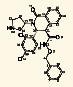 O=C(NOCc1ccccc1)[C@@H]1c2ccccc2C(=O)N([C@H]2CCNC2)[C@H]1c1ccc(Cl)cc1Cl